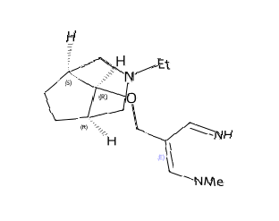 CCN1C[C@H]2CC[C@@H](C1)[C@H]2OC/C(C=N)=C/NC